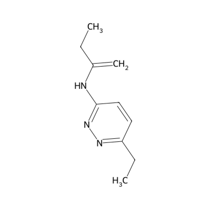 C=C(CC)Nc1ccc(CC)nn1